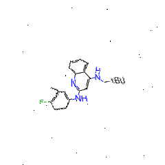 Cc1cc(Nc2cc(NCC(C)(C)C)c3ccccc3n2)ccc1F